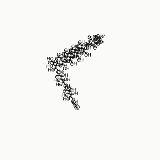 O=C(O)[C@H](O)[C@@H](O)[C@H](O)[C@H](O)CO.O=C(O)[C@H](O)[C@@H](O)[C@H](O)[C@H](O)CO.O=C(O)[C@H](O)[C@@H](O)[C@H](O)[C@H](O)CO.O=C(O)[C@H](O)[C@@H](O)[C@H](O)[C@H](O)CO.O=C(O)[C@H](O)[C@@H](O)[C@H](O)[C@H](O)CO.O=C(O)[C@H](O)[C@@H](O)[C@H](O)[C@H](O)CO.O=C(O)[C@H](O)[C@@H](O)[C@H](O)[C@H](O)CO.O=C([O-])CC(O)(CC(=O)[O-])C(=O)[O-].O=P([O-])([O-])OP(=O)([O-])[O-].[K+].[K+].[K+].[K+].[K+].[K+].[K+]